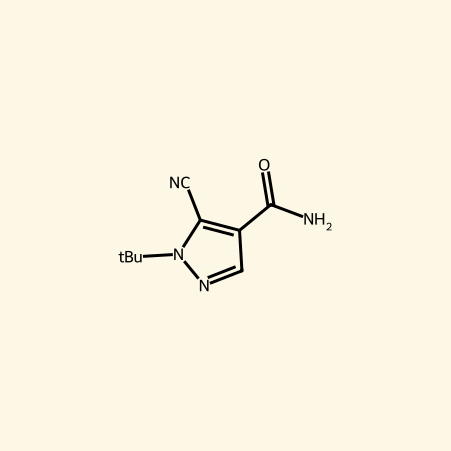 CC(C)(C)n1ncc(C(N)=O)c1C#N